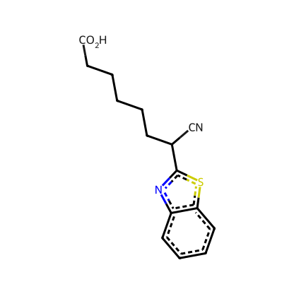 N#CC(CCCCCC(=O)O)c1nc2ccccc2s1